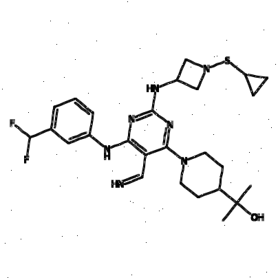 CC(C)(O)C1CCN(c2nc(NC3CN(SC4CC4)C3)nc(Nc3cccc(C(F)F)c3)c2C=N)CC1